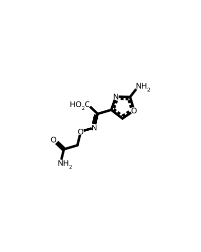 NC(=O)CON=C(C(=O)O)c1coc(N)n1